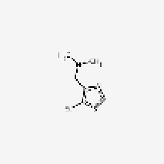 CCc1scnc1CN(C)C